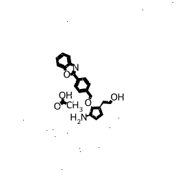 CC(=O)O.N[C@@H]1CC[C@H](CCO)[C@H]1OCc1ccc(-c2nc3ccccc3o2)cc1